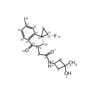 CC1(O)CC(NC(=O)CN2C[C@@]3(C[C@@H]3F)c3cc(I)ccc3C2=O)C1